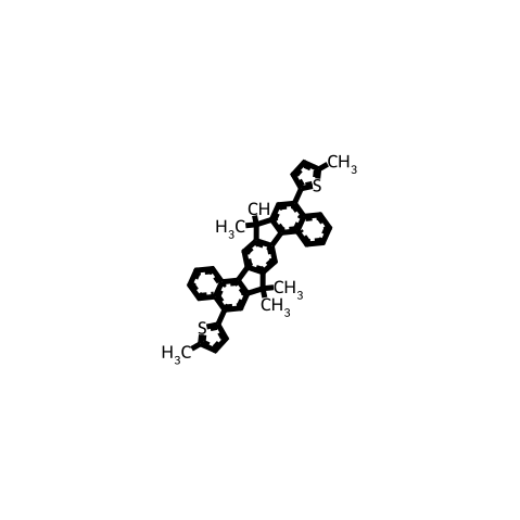 Cc1ccc(-c2cc3c(c4ccccc24)-c2cc4c(cc2C3(C)C)-c2c(cc(-c3ccc(C)s3)c3ccccc23)C4(C)C)s1